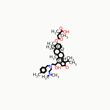 Cc1ccc(CN(CCN(C)C)C[C@H](O)[C@H]2C[C@]3(C)[C@H](CC[C@@H]4[C@@]5(C)CC[C@H](OC(=O)CC(C)(C)C(=O)O)C(C)(C)[C@@H]5CC[C@]43C)C3=C(C(C)C)C(=O)CC32)cc1